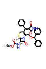 CC(C)(C)OC(=O)N[C@@H]1C(=O)N2C(C(=O)OC(c3ccccc3)c3ccccc3)=C(C(=C3CNC3=O)c3ccccc3)CS[C@H]12